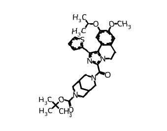 COc1cc2c(cc1OC(C)C)-c1c(-c3cccs3)nc(C(=O)N3CC4CC(CN(C(=O)OC(C)(C)C)C4)C3)n1CC2